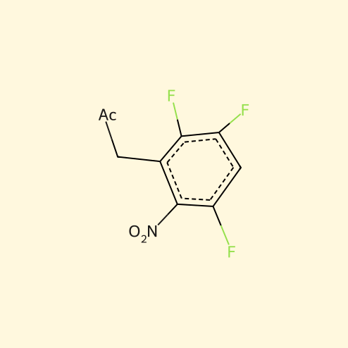 CC(=O)Cc1c(F)c(F)cc(F)c1[N+](=O)[O-]